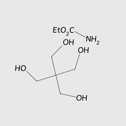 CCOC(N)=O.OCC(CO)(CO)CO